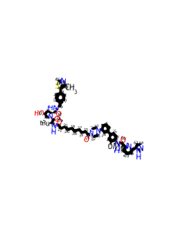 COc1cc(-c2cccc(N3CCN(C(=O)CCCCCCCCC(=O)N[C@H](C(=O)N4C[C@H](O)C[C@H]4C(=O)NCc4ccc(-c5scnc5C)cc4)C(C)(C)C)CC3)c2)ccc1NC(=O)c1cccc(-c2ccn[nH]2)n1